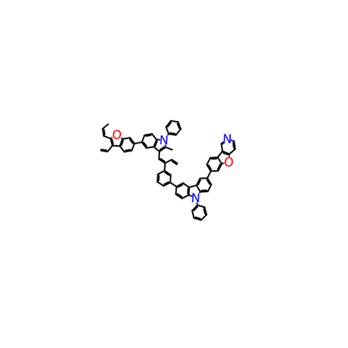 C=C/C(=C\c1c(C)n(-c2ccccc2)c2ccc(-c3ccc4c(C=C)c(/C=C\C)oc4c3)cc12)c1cccc(-c2ccc3c(c2)c2cc(-c4ccc5c(c4)oc4ccncc45)ccc2n3-c2ccccc2)c1